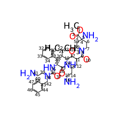 COC(=O)C1(N)CCN(C(=O)C(CCCCN)C(=O)C(CC(C)C)NC(=O)C(Cc2ccccc2)NC(=O)N(CCN)Cc2ccccc2)CC1